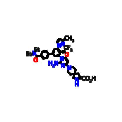 CCN(CC)C(=O)c1ccc(-c2ccc([C@@H](Oc3cc(N4CCC5(CC4)CN[C@H](C(=O)O)C5)nc(N)n3)C(F)(F)F)c(-n3ccc(C)n3)c2)cc1